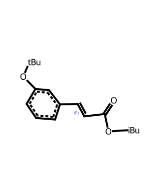 CCC(C)OC(=O)/C=C/c1cccc(OC(C)(C)C)c1